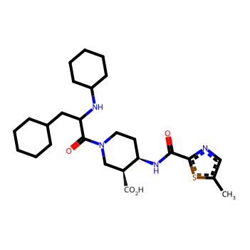 Cc1cnc(C(=O)N[C@@H]2CCN(C(=O)C(CC3CCCCC3)NC3CCCCC3)C[C@@H]2C(=O)O)s1